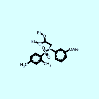 CCOC(CN(c1cccc(OC)c1)S(=O)(=O)c1ccc(C)cc1C)OCC